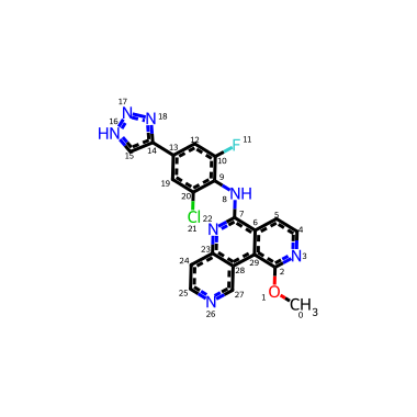 COc1nccc2c(Nc3c(F)cc(-c4c[nH]nn4)cc3Cl)nc3ccncc3c12